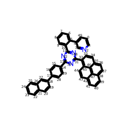 c1cncc(-c2ccccc2-c2nc(-c3ccc(-c4ccc5ccccc5c4)cc3)nc(-c3ccc4ccc5cccc6ccc3c4c56)n2)c1